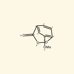 COc1cc2ccc1OOC2=O